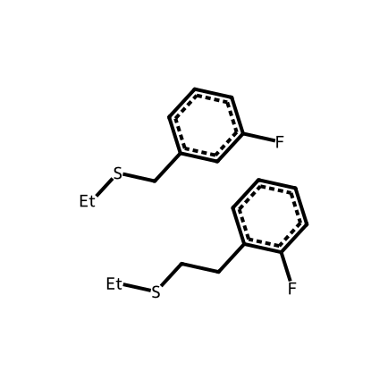 CCSCCc1ccccc1F.CCSCc1cccc(F)c1